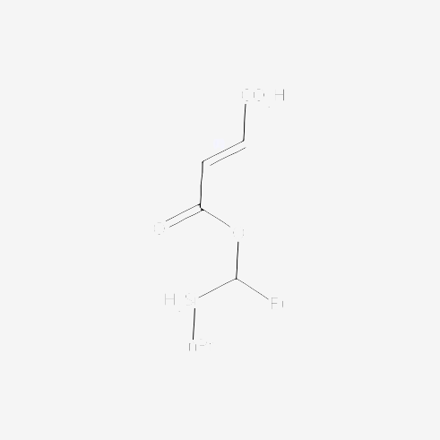 CCC[SiH2]C(CC)OC(=O)/C=C/C(=O)O